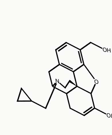 COC1=CCC2C3Cc4ccc(CO)c5c4[C@]2(CCN3CC2CC2)C1O5